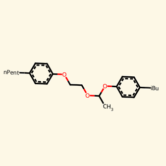 CCCCCc1ccc(OCCOC(C)Oc2ccc(C(C)CC)cc2)cc1